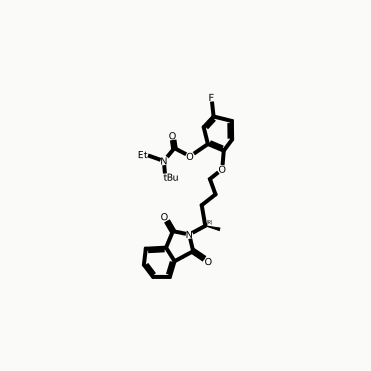 CCN(C(=O)Oc1cc(F)ccc1OCCC[C@@H](C)N1C(=O)c2ccccc2C1=O)C(C)(C)C